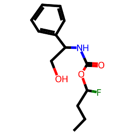 CCCC(F)OC(=O)NC(CO)c1ccccc1